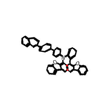 c1ccc(N(c2ccc(-c3ccc(-c4ccc5ccccc5c4)cc3)cc2)c2cccc3c2oc2ccccc23)c(-c2cccc3c2oc2ccccc23)c1